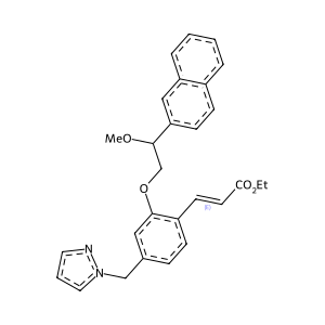 CCOC(=O)/C=C/c1ccc(Cn2cccn2)cc1OCC(OC)c1ccc2ccccc2c1